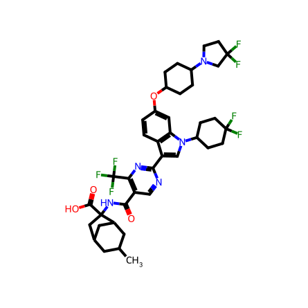 CC1CC2CC(C1)C(NC(=O)c1cnc(-c3cn(C4CCC(F)(F)CC4)c4cc(OC5CCC(N6CCC(F)(F)C6)CC5)ccc34)nc1C(F)(F)F)(C(=O)O)C2